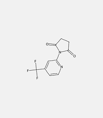 O=C1CCC(=O)N1c1cc(C(F)(F)F)ccn1